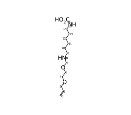 C=CCOCCOCNCCCCCCNC(=O)O